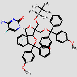 COc1ccc(C(OC[C@]2(CO[Si](C)(C)C(C)(C)C)O[C@@H](n3cc(F)c(N)nc3=O)[C@@H](F)[C@@H]2OC(c2ccccc2)(c2ccccc2)c2ccc(OC)cc2)(c2ccccc2)c2ccccc2)cc1